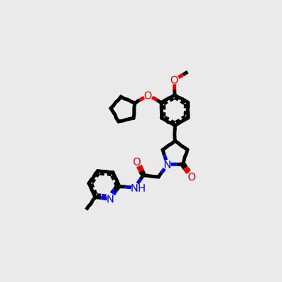 COc1ccc(C2CC(=O)N(CC(=O)Nc3cccc(C)n3)C2)cc1OC1CCCC1